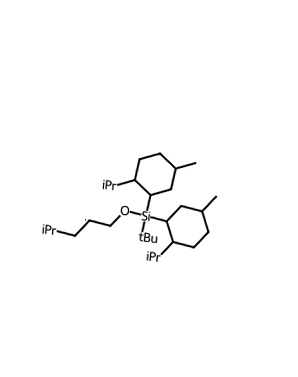 CC(C)C[CH]CO[Si](C1CC(C)CCC1C(C)C)(C1CC(C)CCC1C(C)C)C(C)(C)C